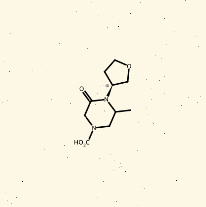 CC1CN(C(=O)O)CC(=O)N1[C@H]1CCOC1